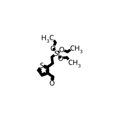 CCO[Si](CCc1sccc1C=O)(OCC)OCC